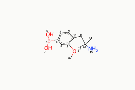 COc1cc(B(O)O)ccc1CC(C)(C)N